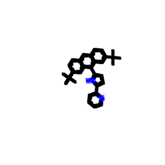 CC(C)(C)c1ccc2cc3ccc(C(C)(C)C)cc3c(-c3ccc(-c4ccccn4)[nH]3)c2c1